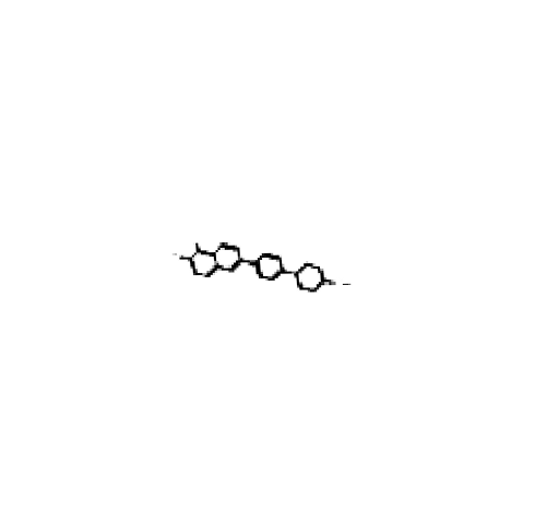 CC1CCC(c2ccc(-c3ccc4c(F)c(F)ccc4c3)cc2)CC1